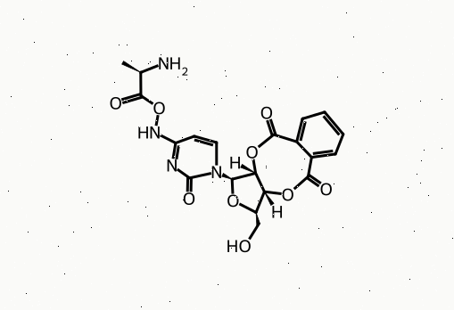 C[C@@H](N)C(=O)ONc1ccn([C@@H]2O[C@H](CO)[C@H]3OC(=O)c4ccccc4C(=O)O[C@H]32)c(=O)n1